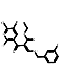 CCOC(=O)C(=CNCc1cccc(F)c1)C(=O)c1cc(F)c(Cl)nc1Cl